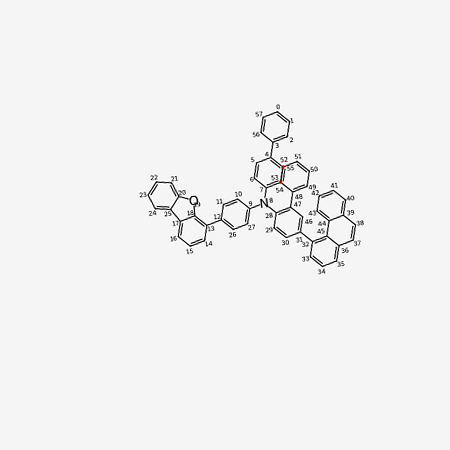 c1ccc(-c2ccc(N(c3ccc(-c4cccc5c4oc4ccccc45)cc3)c3ccc(-c4cccc5ccc6ccccc6c45)cc3-c3ccccc3)cc2)cc1